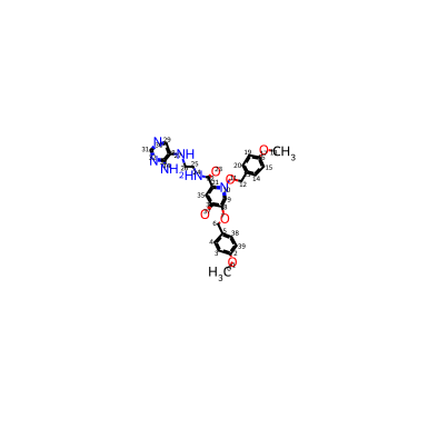 COc1ccc(COc2cn(OCc3ccc(OC)cc3)c(C(=O)NCCNc3cncnc3N)cc2=O)cc1